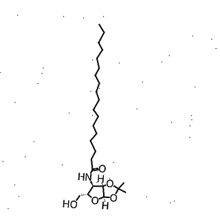 CCCCCCCCCCCCCCCCCC(=O)N[C@H]1[C@H]2OC(C)(C)O[C@H]2O[C@@H]1CO